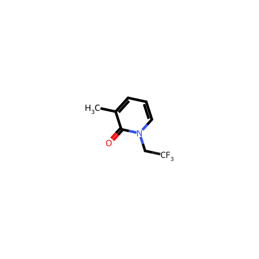 Cc1cccn(CC(F)(F)F)c1=O